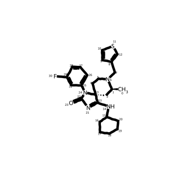 C[C@H]1C[C@]2(CCN1Cc1ccsc1)C(NC1CCCCC1)=NC(=O)N2c1cccc(F)c1